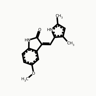 COc1ccc2c(c1)C(=Cc1[nH]c(C)cc1C)C(=O)N2